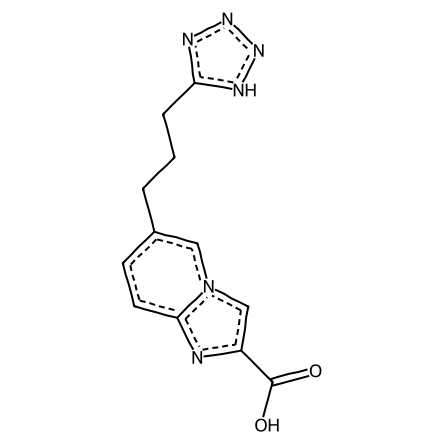 O=C(O)c1cn2cc(CCCc3nnn[nH]3)ccc2n1